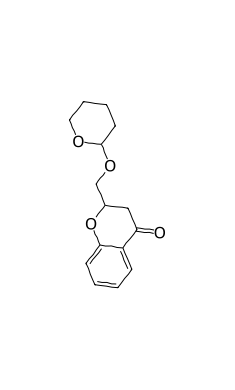 O=C1CC(COC2CCCCO2)Oc2ccccc21